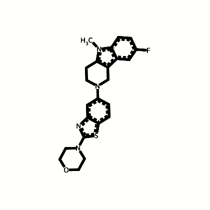 Cn1c2c(c3cc(F)ccc31)CN(c1ccc3sc(N4CCOCC4)nc3c1)CC2